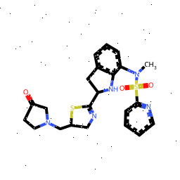 CN(c1cccc2c1NC(C1=NCC(CN3CCC(=O)C3)S1)C2)S(=O)(=O)c1ccccn1